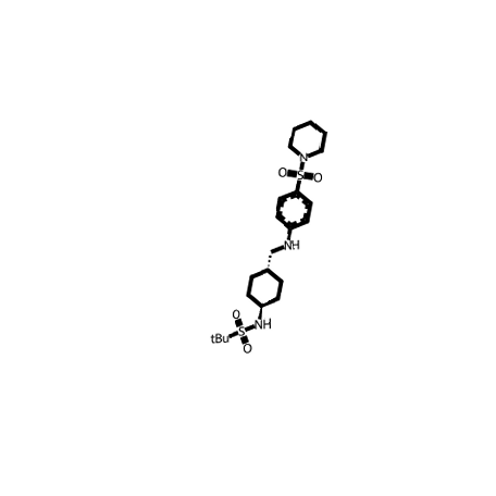 CC(C)(C)S(=O)(=O)N[C@H]1CC[C@H](CNc2ccc(S(=O)(=O)N3CCCCC3)cc2)CC1